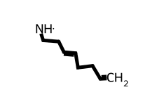 C=CCCC=CCC[NH]